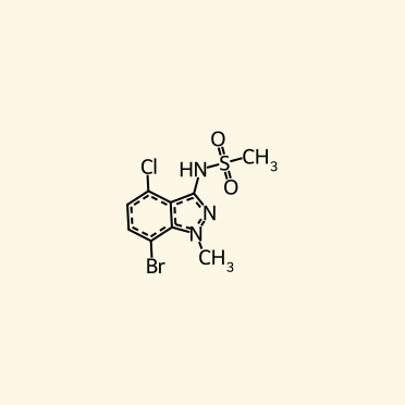 Cn1nc(NS(C)(=O)=O)c2c(Cl)ccc(Br)c21